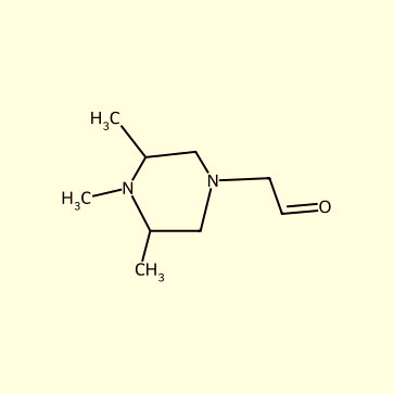 CC1CN(CC=O)CC(C)N1C